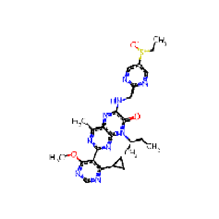 CC[C@@H](C)n1c(=O)c(NCc2ncc([S+]([O-])CC)cn2)nc2c(C)nc(-c3c(OC)ncnc3C3CC3)nc21